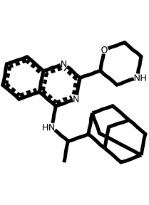 CC(Nc1nc(C2CNCCO2)nc2ccccc12)C1C2CC3CC(C2)CC1C3